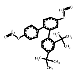 CC(C)(C)c1ccc(-c2cc(O[PH2]=O)ccc2-c2ccc(O[PH2]=O)cc2)c(C(C)(C)C)c1